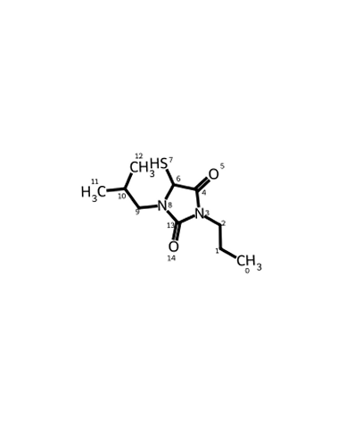 CCCN1C(=O)C(S)N(CC(C)C)C1=O